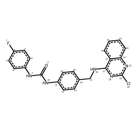 O=C(Nc1ccc(F)cc1)Nc1ccc(CNc2nc(Cl)nc3ccccc23)cc1